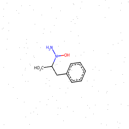 NN(O)C(Cc1ccccc1)C(=O)O